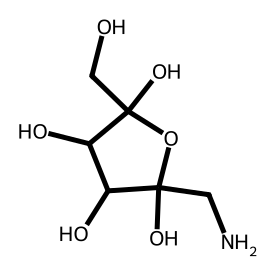 NCC1(O)OC(O)(CO)C(O)C1O